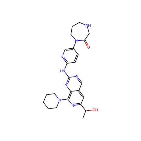 CC(O)c1cc2cnc(Nc3ccc(N4CCCNCC4=O)cn3)nc2c(N2CCCCC2)n1